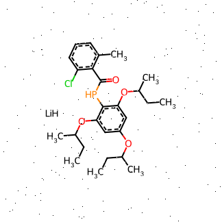 CCC(C)Oc1cc(OC(C)CC)c(PC(=O)c2c(C)cccc2Cl)c(OC(C)CC)c1.[LiH]